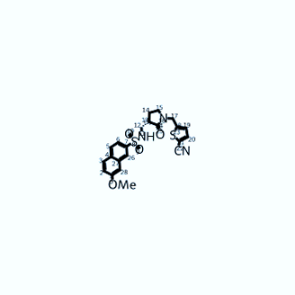 COc1ccc2ccc(S(=O)(=O)NC[C@@H]3CCN(Cc4ccc(C#N)s4)C3=O)cc2c1